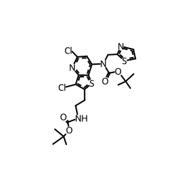 CC(C)(C)OC(=O)NCCc1sc2c(N(Cc3nccs3)C(=O)OC(C)(C)C)cc(Cl)nc2c1Cl